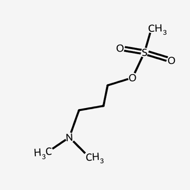 CN(C)CCCOS(C)(=O)=O